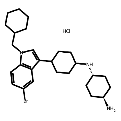 Cl.N[C@H]1CC[C@H](NC2CCC(c3cn(CC4CCCCC4)c4ccc(Br)cc34)CC2)CC1